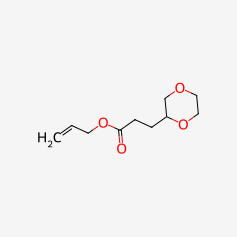 C=CCOC(=O)CCC1COCCO1